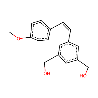 COc1ccc(/C=C\c2cc(CO)cc(CO)c2)cc1